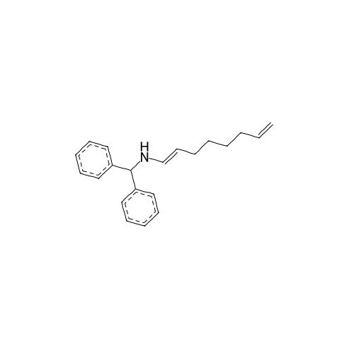 C=CCCCCC=CNC(c1ccccc1)c1ccccc1